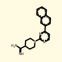 N=C(N)C1CCN(c2nccc(-c3ccc4ccccc4c3)n2)CC1